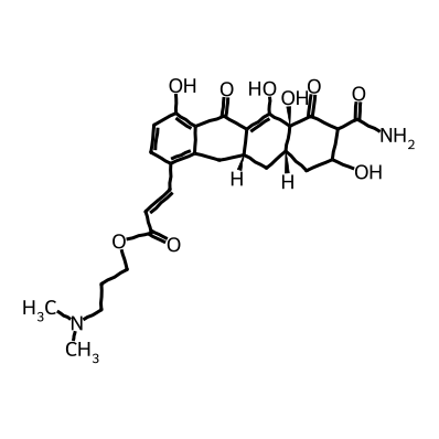 CN(C)CCCOC(=O)/C=C/c1ccc(O)c2c1C[C@H]1C[C@H]3CC(O)C(C(N)=O)C(=O)[C@@]3(O)C(O)=C1C2=O